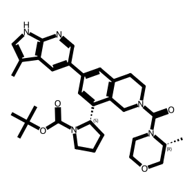 Cc1c[nH]c2ncc(-c3cc4c(c([C@@H]5CCCN5C(=O)OC(C)(C)C)c3)CN(C(=O)N3CCOC[C@H]3C)CC4)cc12